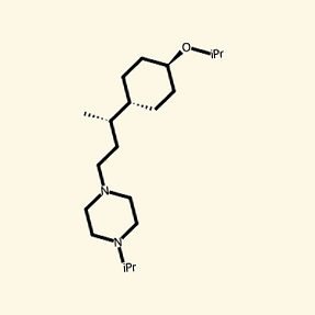 CC(C)O[C@H]1CC[C@H]([C@@H](C)CCN2CCN(C(C)C)CC2)CC1